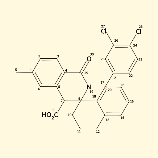 Cc1ccc2c(c1)C(C(=O)O)C1(CCCc3ccccc31)N(Cc1ccc(Cl)c(Cl)c1)C2=O